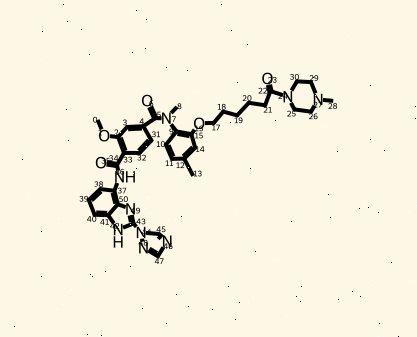 COc1cc(C(=O)N(C)c2ccc(C)cc2OCCCCCC(=O)N2CCN(C)CC2)ccc1C(=O)Nc1cccc2[nH]c(-n3cncn3)nc12